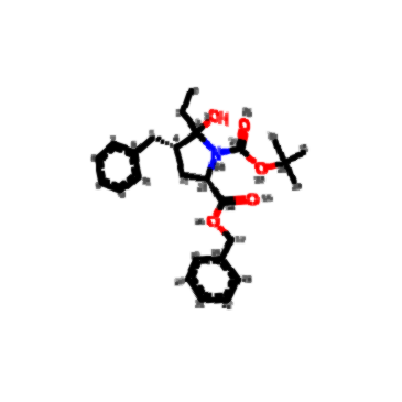 CCC1(O)[C@@H](Cc2ccccc2)C[C@H](C(=O)OCc2ccccc2)N1C(=O)OC(C)(C)C